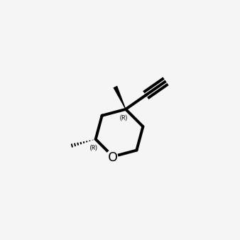 C#C[C@]1(C)CCO[C@H](C)C1